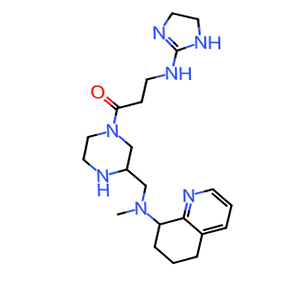 CN(CC1CN(C(=O)CCNC2=NCCN2)CCN1)C1CCCc2cccnc21